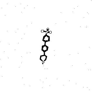 CN1CCC(c2ccc(-c3ccc(S(=O)(=O)Cl)cc3)cc2)CC1